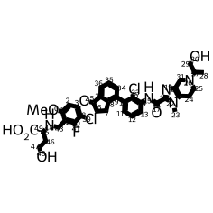 COc1cc(OC2CCc3c(-c4cccc(NC(=O)c5nc6c(n5C)CCN(C(C)CO)C6)c4Cl)cccc32)c(Cl)c(F)c1CN[C@H](CCO)C(=O)O